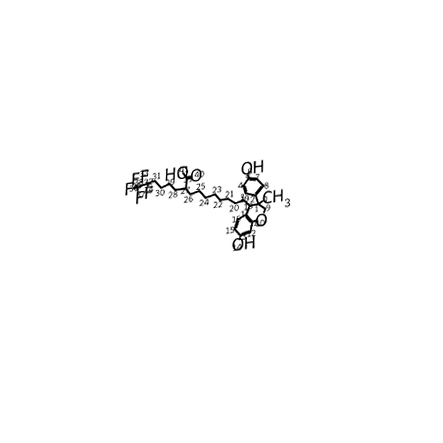 CC1(c2ccc(O)cc2)COc2cc(O)ccc2C1CCCCCCCCC(CCCCC(F)(F)C(F)(F)F)C(=O)O